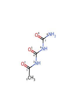 CC(=O)NC(=O)NC(N)=O